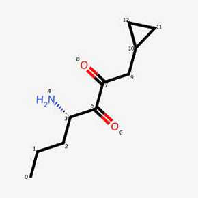 CCC[C@H](N)C(=O)C(=O)CC1CC1